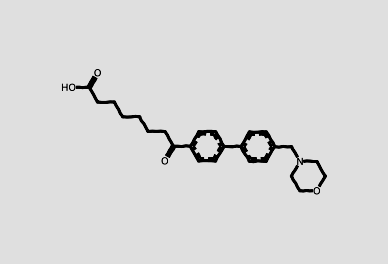 O=C(O)CCCCCCC(=O)c1ccc(-c2ccc(CN3CCOCC3)cc2)cc1